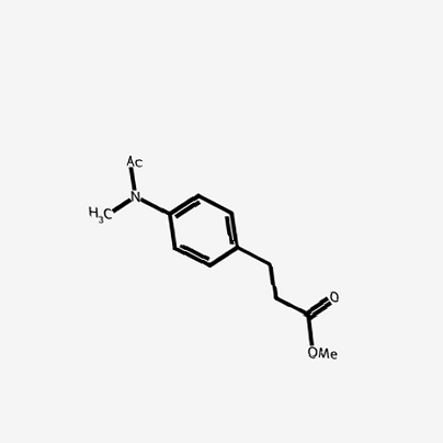 COC(=O)CCc1ccc(N(C)C(C)=O)cc1